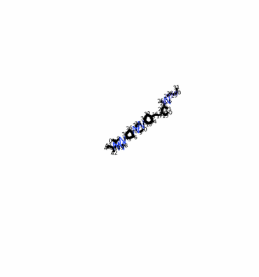 C=C1CN(c2ccc(N3CCN(c4ccc(CC[C@H](CC)CC(C)/C(C)=N/C=C\C=C/C)cc4)CC3)cc2)C=NN1C(C)CC